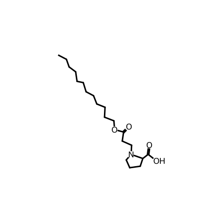 CCCCCCCCCCCCOC(=O)CCN1CCCC1C(=O)O